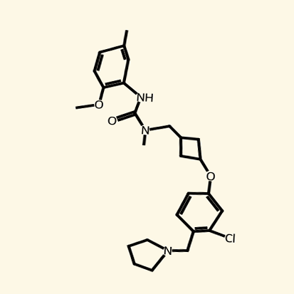 COc1ccc(C)cc1NC(=O)N(C)CC1CC(Oc2ccc(CN3CCCC3)c(Cl)c2)C1